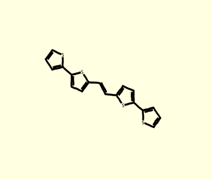 C(=C\c1ccc(-c2cccs2)s1)/c1ccc(-c2cccs2)s1